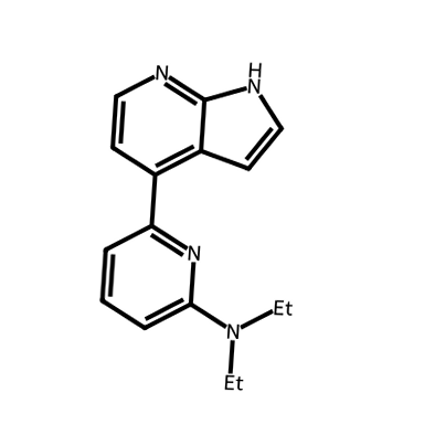 CCN(CC)c1cccc(-c2ccnc3[nH]ccc23)n1